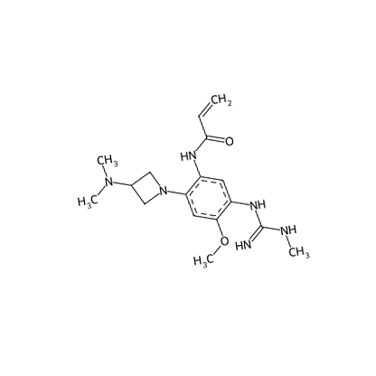 C=CC(=O)Nc1cc(NC(=N)NC)c(OC)cc1N1CC(N(C)C)C1